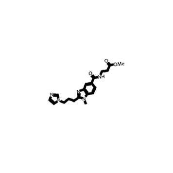 COC(=O)CCNC(=O)c1ccc2c(c1)nc(CCCn1ccnc1)n2C